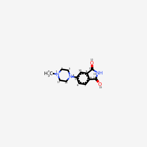 CN1CCN(c2ccc3c(c2)C(=O)NC3=O)CC1